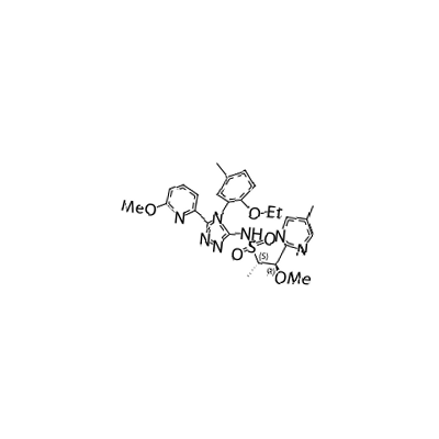 CCOc1ccc(C)cc1-n1c(NS(=O)(=O)[C@@H](C)[C@H](OC)c2ncc(C)cn2)nnc1-c1cccc(OC)n1